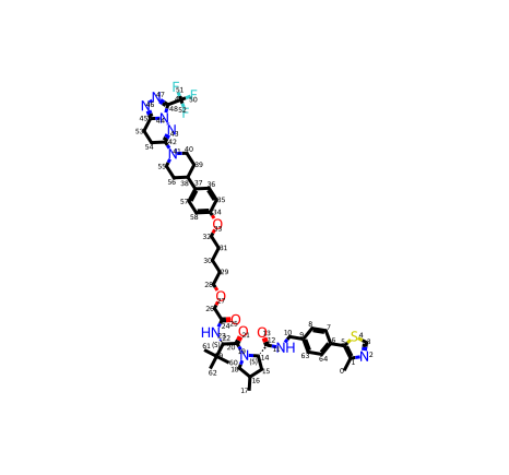 Cc1ncsc1-c1ccc(CNC(=O)[C@@H]2CC(C)CN2C(=O)[C@@H](NC(=O)COCCCCCOc2ccc(C3CCN(C4=Nn5c(nnc5C(F)(F)F)CC4)CC3)cc2)C(C)(C)C)cc1